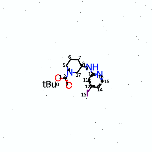 CC(C)(C)OC(=O)N1CCC[C@@H](Nc2cc(I)ccn2)C1